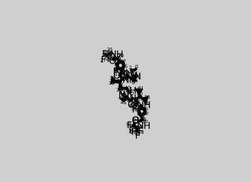 CC(C)n1nccc1C(=O)N[C@H](C(=O)Nc1ccc([C@H](C)C(=O)N[C@@H](C)C(F)(F)F)cc1F)C(=C1CC1)C1CC1CC(C)n1nccc1C(=O)N[C@H](C(=O)Nc1ccc([C@H](C)C(=O)NC(C(F)(F)F)C(F)(F)F)cc1F)C(C1CC1)C1CC1